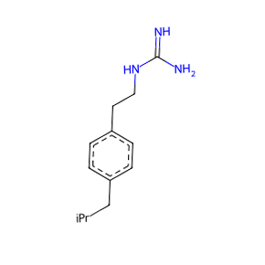 CC(C)Cc1ccc(CCNC(=N)N)cc1